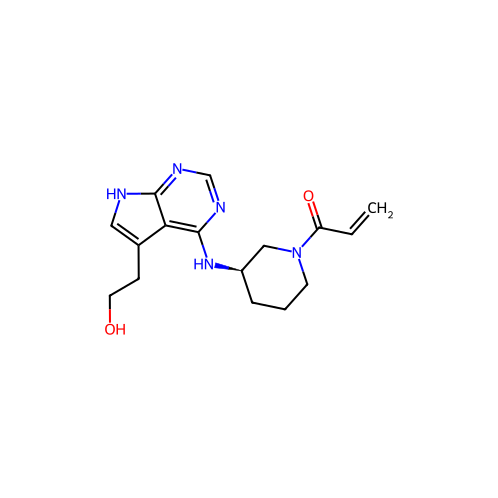 C=CC(=O)N1CCC[C@@H](Nc2ncnc3[nH]cc(CCO)c23)C1